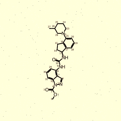 COC(=O)n1ncc2c(NC(=O)NC3CCc4c3cccc4N3CCCC(C)C3)cccc21